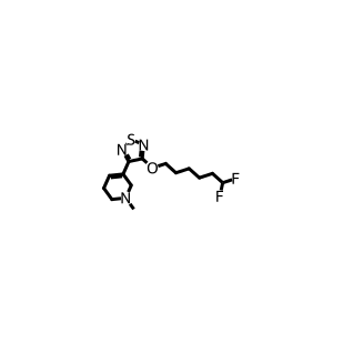 CN1CCC=C(c2nsnc2OCCCCCC(F)F)C1